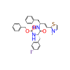 C[n+]1ccsc1/C=C/[C@H](Cc1ccccc1)NC(=O)[C@H](Cc1ccccc1)NC(=O)OCc1ccccc1.[I-]